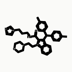 Cc1ccc(C(c2ccc(C)cc2)c2c(C(=O)NCCCn3ccnc3)n(CCN3CCOCC3)c3ccccc23)cc1